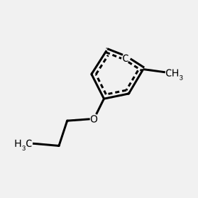 CCCOc1c[c]cc(C)c1